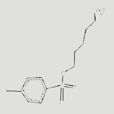 CCOC(=O)CCCCCOS(=O)(=O)c1ccc(C)cc1